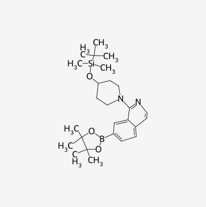 CC1(C)OB(c2ccc3ccnc(N4CCC(O[Si](C)(C)C(C)(C)C)CC4)c3c2)OC1(C)C